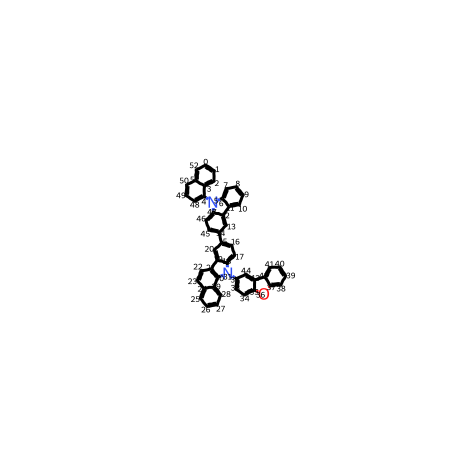 c1ccc2c(-n3c4ccccc4c4cc(-c5ccc6c(c5)c5ccc7ccccc7c5n6-c5ccc6oc7ccccc7c6c5)ccc43)cccc2c1